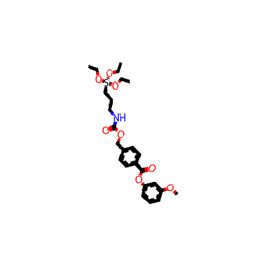 CCO[Si](CCCNC(=O)OCc1ccc(C(=O)Oc2cccc(OC)c2)cc1)(OCC)OCC